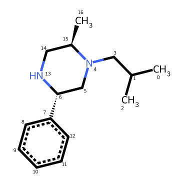 CC(C)CN1C[C@H](c2ccccc2)NC[C@H]1C